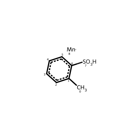 Cc1ccccc1S(=O)(=O)O.[Mn]